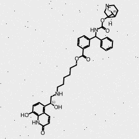 O=C(NC(c1ccccc1)c1cccc(C(=O)OCCCCCCNC[C@@H](O)c2ccc(O)c3[nH]c(=O)ccc23)c1)O[C@H]1CN2CCC1CC2